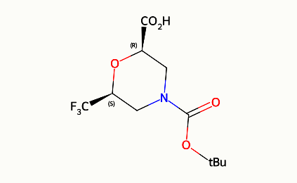 CC(C)(C)OC(=O)N1C[C@@H](C(F)(F)F)O[C@@H](C(=O)O)C1